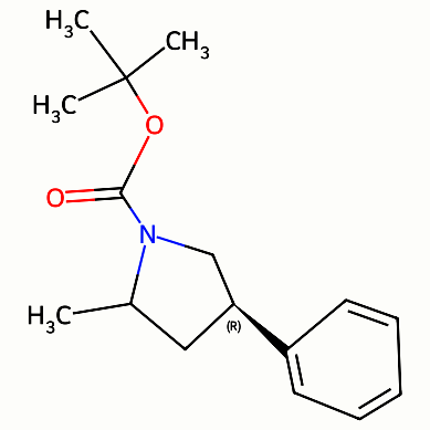 CC1C[C@H](c2ccccc2)CN1C(=O)OC(C)(C)C